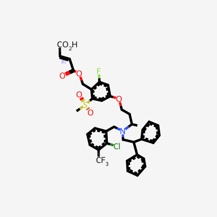 CC(CCOc1cc(F)c(COC(=O)/C=C/C(=O)O)c(S(C)(=O)=O)c1)N(Cc1cccc(C(F)(F)F)c1Cl)CC(c1ccccc1)c1ccccc1